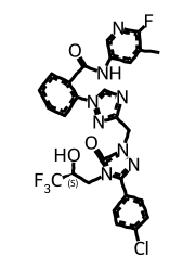 Cc1cc(NC(=O)c2ccccc2-n2cnc(Cn3nc(-c4ccc(Cl)cc4)n(C[C@H](O)C(F)(F)F)c3=O)n2)cnc1F